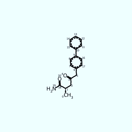 C[C@H](CC(=O)Cc1ccc(-c2ccccc2)cc1)C(N)=O